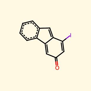 O=C1C=C(I)C2=Cc3ccccc3C2=C1